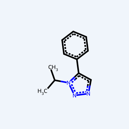 CC(C)n1nncc1-c1ccccc1